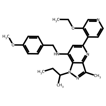 CCOc1cnccc1-c1cc(NCc2ccc(OC)cc2)c2c(n1)c(C)nn2C(C)CC